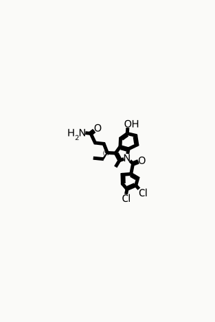 CC[C@@H](CCC(N)=O)c1c(C)n(C(=O)c2ccc(Cl)c(Cl)c2)c2ccc(O)cc12